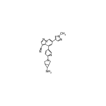 Cn1cc(-c2cc(-c3ccc(N4CC5C(N)C5C4)nc3)c3c(C#N)cnn3c2)cn1